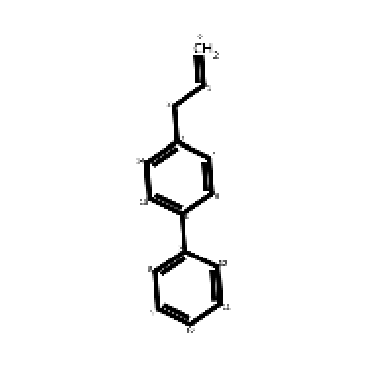 C=CCc1ccc(-c2cc[c]cc2)cc1